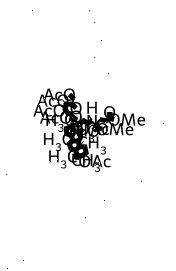 COC(=O)CC[C@H](NCCC[C@](C)(O[C@H]1O[C@H](COC(C)=O)[C@@H](OC(C)=O)[C@H](OC(C)=O)[C@H]1OC(C)=O)C1CC[C@]2(C)[C@@H]1C(OC(C)=O)CC1[C@@]3(C)CC[C@H](OC(C)=O)C(C)(C)C3CC[C@]12C)C(=O)OC